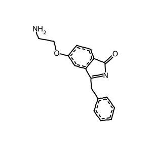 NCCOc1ccc2c(c1)C(Cc1ccccc1)=NC2=O